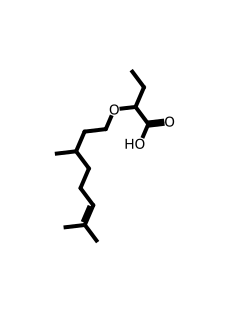 CCC(OCCC(C)CCC=C(C)C)C(=O)O